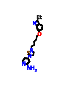 CCC1=Nc2cc(OCCCCCN3CCN(c4ccnc(N)c4)S3)ccc21